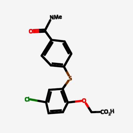 CNC(=O)c1ccc(Sc2cc(Cl)ccc2OCC(=O)O)cc1